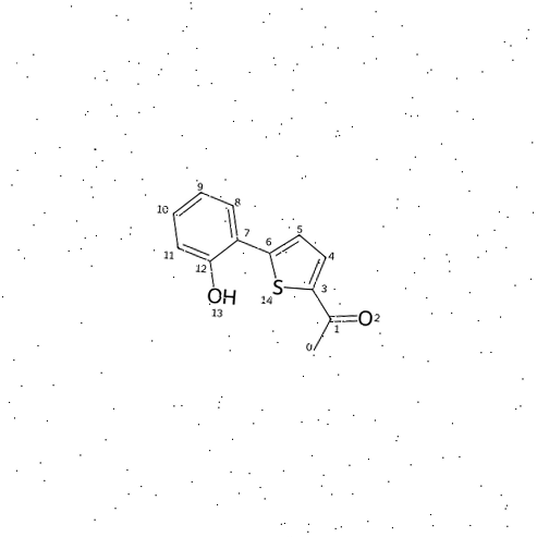 CC(=O)c1ccc(-c2ccccc2O)s1